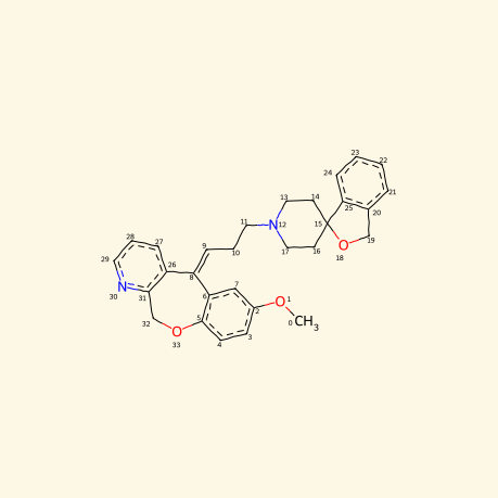 COc1ccc2c(c1)C(=CCCN1CCC3(CC1)OCc1ccccc13)c1cccnc1CO2